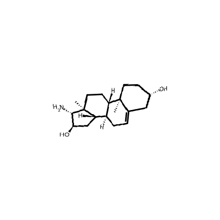 C[C@]12CC[C@H]3[C@@H](CC=C4C[C@@H](O)CC[C@@]43C)[C@@H]1C[C@@H](O)[C@@H]2N